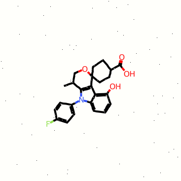 CC1COC2(CCC(C(=O)O)CC2)c2c1n(-c1ccc(F)cc1)c1cccc(O)c21